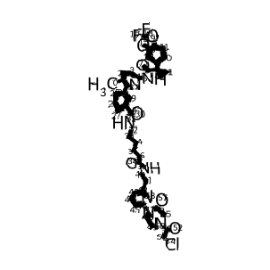 Cc1ccc(NC(=O)C2(c3ccc4c(c3)OC(F)(F)O4)CC2)nc1-c1cccc(C(=O)NCCCCCC(=O)NCCc2cccc(N3CCN(C(=O)CCl)CC3=O)n2)c1